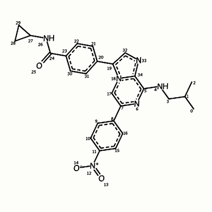 CC(C)CNc1nc(-c2ccc([N+](=O)[O-])cc2)cn2c(-c3ccc(C(=O)NC4CC4)cc3)cnc12